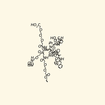 C=CCOC(=O)CCOCCOCCC(=O)NCCN(CCNC(=O)CCOCCOCCOCCC(=O)O)C(=O)CCOCCNC(=O)OC(C)(C)C.CC[C@H](C)[C@@H]([C@@H](CC(=O)N1CCC[C@H]1[C@H](OC)[C@@H](C)C(=O)N[C@@H](Cc1ccccc1)c1nccs1)OC)N(C)C(=O)[C@@H](NC(=O)[C@@H]1[C@H]2CC[C@H](C2)N1C(=O)O)C(C)C